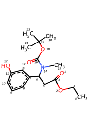 CCOC(=O)CC(c1cccc(O)c1)N(C)C(=O)OC(C)(C)C